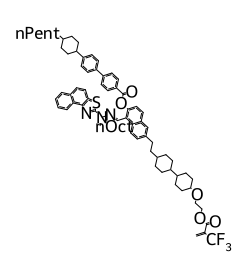 C=C(C(=O)OCCOC1CCC(C2CCC(CCc3ccc4c(/C=N/N(CCCCCCCC)c5nc6c(ccc7ccccc76)s5)c(OC(=O)c5ccc(-c6ccc(C7CCC(CCCCC)CC7)cc6)cc5)ccc4c3)CC2)CC1)C(F)(F)F